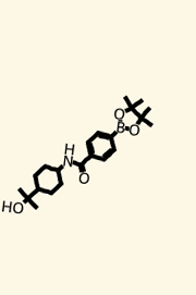 CC(C)(O)C1CCC(NC(=O)c2ccc(B3OC(C)(C)C(C)(C)O3)cc2)CC1